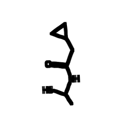 CC(S)NC(=O)CC1CC1